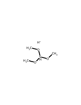 CO[SiH](OC)OC.[H+]